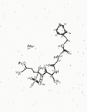 CC(C)CCC(O)(NC(=O)[C@H](C)NC(=O)CNC(=O)OCc1ccccc1)S(=O)(=O)[O-].[Na+]